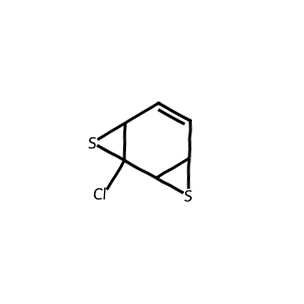 ClC12SC1C=CC1SC12